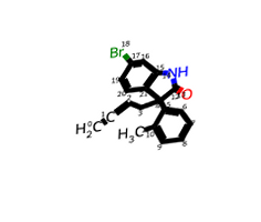 C=C=CCC1(c2ccccc2C)C(=O)Nc2cc(Br)ccc21